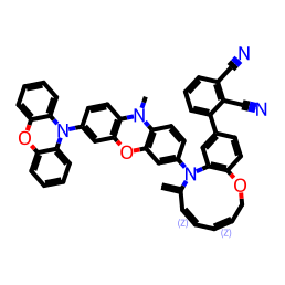 C=C1/C=C\C=C/COc2ccc(-c3cccc(C#N)c3C#N)cc2N1c1ccc2c(c1)Oc1cc(N3c4ccccc4Oc4ccccc43)ccc1N2C